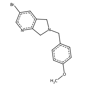 COc1ccc(CN2Cc3cc(Br)cnc3C2)cc1